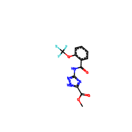 COC(=O)c1nc(NC(=O)c2ccccc2OC(F)(F)F)n[nH]1